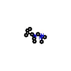 c1ccc(-c2nc(-c3cccc(-n4c5ccc(C6c7ccccc7-c7ccc8ccccc8c76)cc5c5cc6ccccc6cc54)c3)nc3ccccc23)cc1